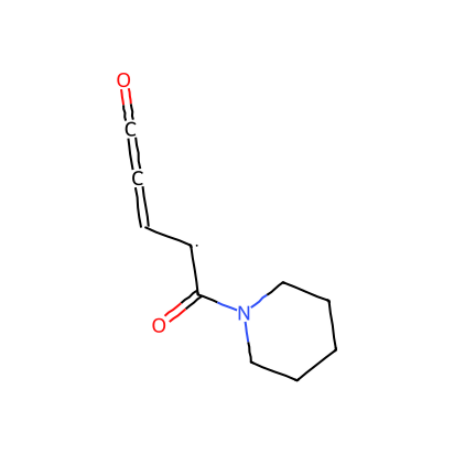 O=C=C=C[CH]C(=O)N1CCCCC1